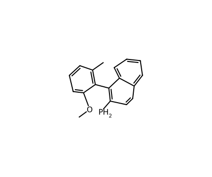 COc1cccc(C)c1-c1c(P)ccc2ccccc12